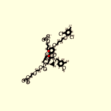 COc1ccc(CN(C(=O)C2=C(c3ccc(OCCCCOc4c(Cl)cc(C)cc4Cl)cc3)CC3CN(C(=O)OCCOCCO[N+](=O)[O-])CC2N3C(=O)OCCCCO[N+](=O)[O-])C2CC2)cc1C